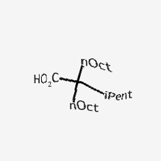 CCCCCCCCC(CCCCCCCC)(C(=O)O)C(C)CCC